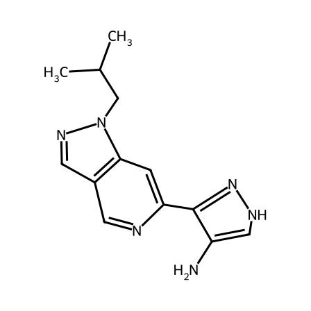 CC(C)Cn1ncc2cnc(-c3n[nH]cc3N)cc21